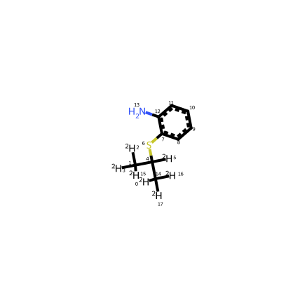 [2H]C([2H])([2H])C([2H])(Sc1ccccc1N)C([2H])([2H])[2H]